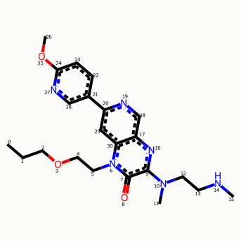 CCCOCCn1c(=O)c(N(C)CCNC)nc2cnc(-c3ccc(OC)nc3)cc21